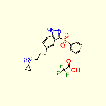 O=C(O)C(F)(F)F.O=S(=O)(c1ccccc1)c1n[nH]c2ccc(CCCNC3CC3)cc12